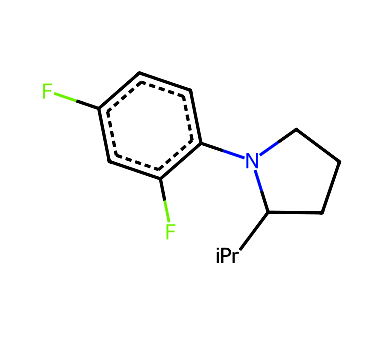 CC(C)C1CCCN1c1ccc(F)cc1F